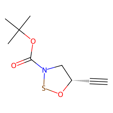 C#C[C@H]1CN(C(=O)OC(C)(C)C)SO1